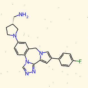 NC[C@H]1CCN(c2ccc3c(c2)Cn2cc(-c4ccc(F)cc4)cc2-c2nncn2-3)C1